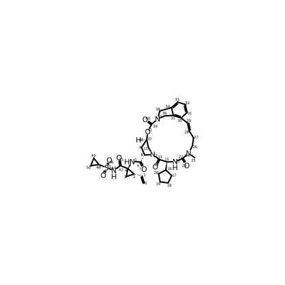 C=C[C@@H]1C[C@]1(NC(=O)[C@@H]1C[C@@H]2CN1C(=O)[C@H](C1CCCC1)NC(=O)N(C)CC/C=C/c1cccc3c1CN(C3)C(=O)O2)C(=O)NS(=O)(=O)C1CC1